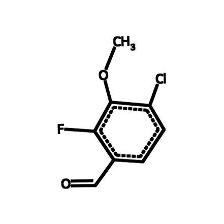 COc1c(Cl)ccc(C=O)c1F